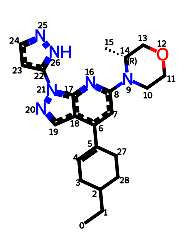 CCC1CC=C(c2cc(N3CCOC[C@H]3C)nc3c2cnn3-c2ccn[nH]2)CC1